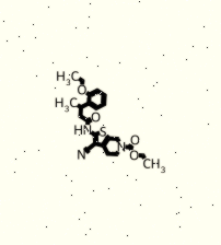 CCOC(=O)N1CCc2c(sc(NC(=O)CC(C)c3ccccc3OCC)c2C#N)C1